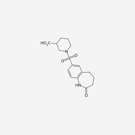 O=C1CCCc2cc(S(=O)(=O)N3CCCC(C(=O)O)C3)ccc2N1